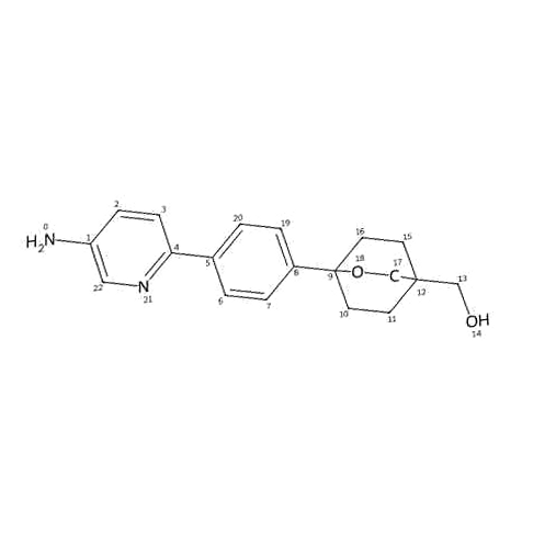 Nc1ccc(-c2ccc(C34CCC(CO)(CC3)CO4)cc2)nc1